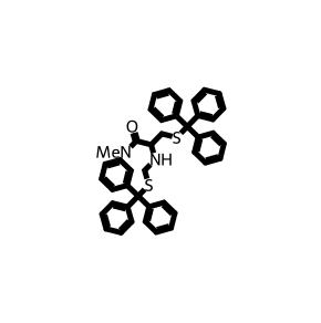 CNC(=O)C(CSC(c1ccccc1)(c1ccccc1)c1ccccc1)NCSC(c1ccccc1)(c1ccccc1)c1ccccc1